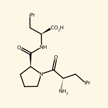 CC(C)C[C@H](NC(=O)[C@@H]1CCCN1C(=O)[C@@H](N)CC(C)C)C(=O)O